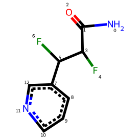 NC(=O)C(F)C(F)c1cccnc1